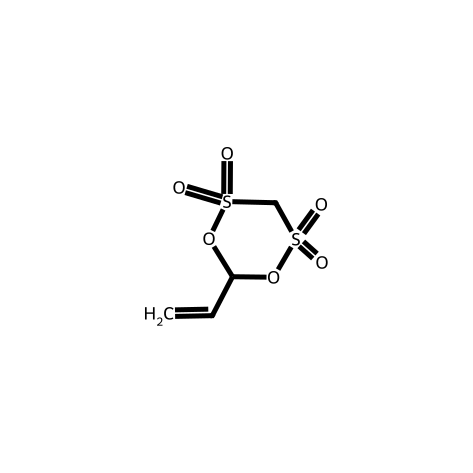 C=CC1OS(=O)(=O)CS(=O)(=O)O1